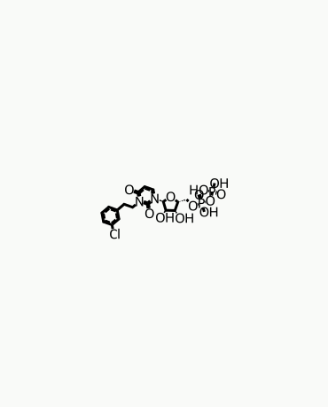 O=c1ccn([C@@H]2O[C@H](COP(=O)(O)OP(=O)(O)O)[C@H](O)[C@@H]2O)c(=O)n1CCc1cccc(Cl)c1